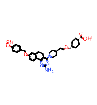 Nc1nc2c(c(N3CCC(CCOC[C@H]4CC[C@@H](C(=O)O)CC4)CC3)n1)CCc1cc(OCc3ccc(OO)cc3)ccc1-2